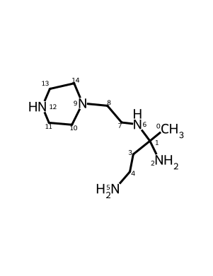 CC(N)(CCN)NCCN1CCNCC1